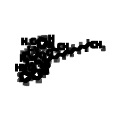 CCCCCCCCCCCCCCN1C(C(C(=O)Nc2cc(NC(=O)CC)ccc2C)n2ccnc2C(=O)Nc2ccccc2)=Nc2ccccc2S1(=O)=O